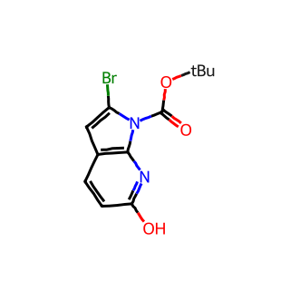 CC(C)(C)OC(=O)n1c(Br)cc2ccc(O)nc21